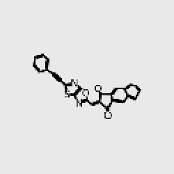 O=C1C(=Cc2nc3sc(C#Cc4ccccc4)nc3o2)C(=O)c2cc3ccccc3cc21